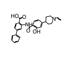 C=CN1CCC(c2ccc(C(=O)Nc3cc(-c4ccccc4)ccc3C(=O)O)c(O)c2)CC1